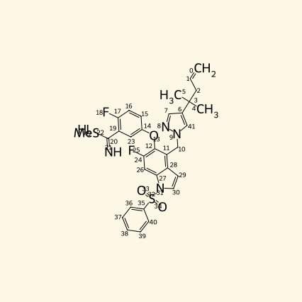 C=CCC(C)(C)c1cnn(Cc2c(Oc3ccc(F)c(C(=N)SC)c3)c(F)cc3c2ccn3S(=O)(=O)c2ccccc2)c1.I